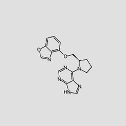 c1cc(OC[C@H]2CCCN2c2ncnc3[nH]cnc23)c2ncoc2c1